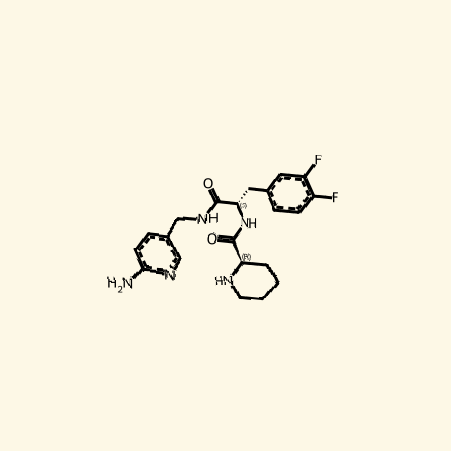 Nc1ccc(CNC(=O)[C@H](Cc2ccc(F)c(F)c2)NC(=O)[C@H]2CCCCN2)cn1